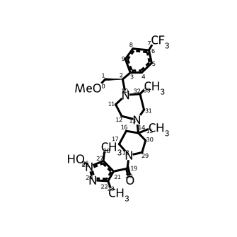 COC[C@@H](c1ccc(C(F)(F)F)cc1)N1CCN(C2(C)CCN(C(=O)c3c(C)nn(O)c3C)CC2)CC1C